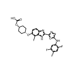 O=C(O)O[C@H]1CC[C@H](Oc2ccc3nc(-c4nnc(Nc5cc(F)c(F)cc5F)o4)[nH]c3c2F)CC1